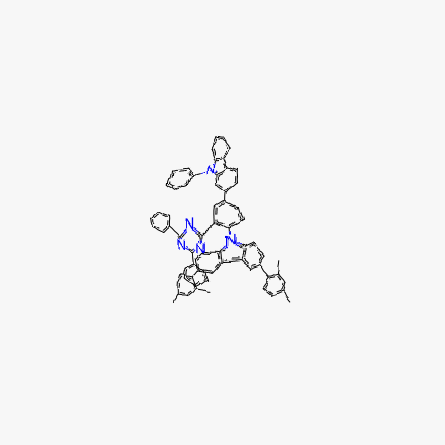 Cc1ccc(-c2ccc3c(c2)c2cc(-c4ccc(C)cc4C)ccc2n3-c2ccc(-c3ccc4c5ccccc5n(-c5ccccc5)c4c3)cc2-c2nc(-c3ccccc3)nc(-c3ccccc3)n2)c(C)c1